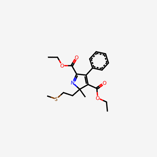 CCOC(=O)C1=NC(C)(CCSC)C(C(=O)OCC)=C1c1ccccc1